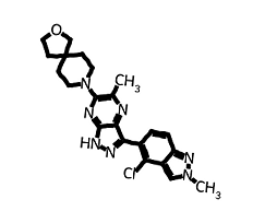 Cc1nc2c(-c3ccc4nn(C)cc4c3Cl)n[nH]c2nc1N1CCC2(CCOC2)CC1